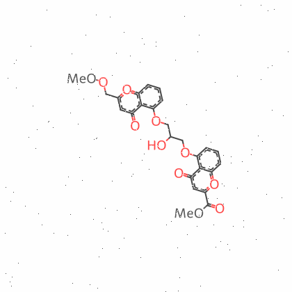 COOCc1cc(=O)c2c(OCC(O)COc3cccc4oc(C(=O)OC)cc(=O)c34)cccc2o1